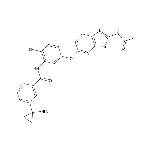 CC(=O)Nc1nc2ccc(Oc3ccc(Cl)c(NC(=O)c4cccc(C5(N)CC5)c4)c3)nc2s1